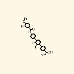 CCCC(O)c1ccc(-c2ccc(-c3ccc(OC(=O)c4ccc(OCC)c(F)c4)cc3)c(F)c2F)cc1